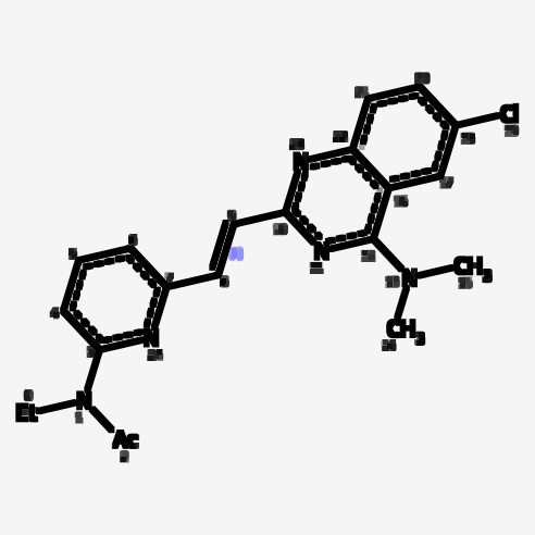 CCN(C(C)=O)c1cccc(/C=C/c2nc(N(C)C)c3cc(Cl)ccc3n2)n1